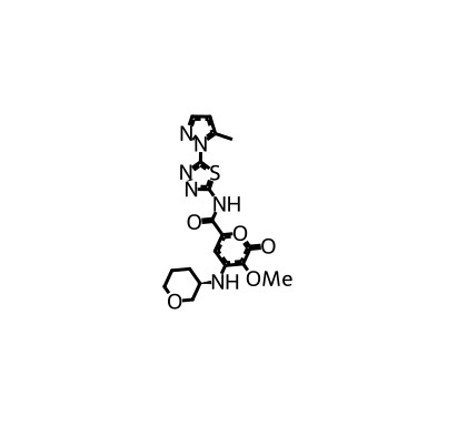 COc1c(N[C@@H]2CCCOC2)cc(C(=O)Nc2nnc(-n3nccc3C)s2)oc1=O